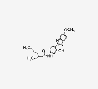 CCCCC(CC)CC(=O)Nc1ccc(-n2nc3ccc(OC)cc3n2)c(O)c1